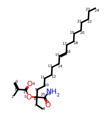 C=C(C)C(=O)OC(CC)(CCCCCCC=CCCCCCCCC)C(N)=O